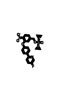 O=[N+]([O-])c1ccc(COP(=O)(N2CC2)N2CC2)cc1Oc1ccc(-c2ccc(F)cn2)cc1